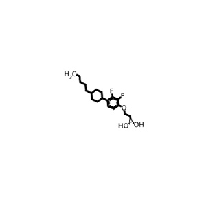 CCCCCC1CCC(c2ccc(OCCP(O)O)c(F)c2F)CC1